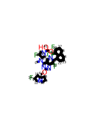 CN(c1nc(OC[C@@]23CCCN2C[C@H](F)C3)nc2c(F)c(-c3cccc4ccc(F)c(Cl)c34)ncc12)[C@H]1CN(C(=O)O)C[C@@H]1F